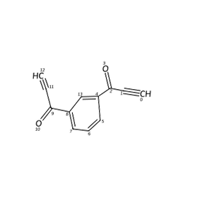 C#CC(=O)c1cccc(C(=O)C#C)c1